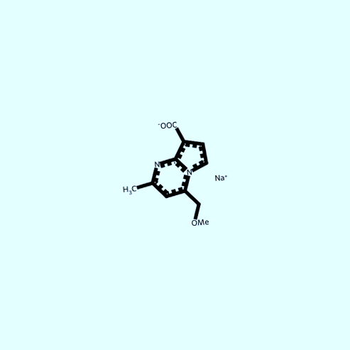 COCc1cc(C)nc2c(C(=O)[O-])ccn12.[Na+]